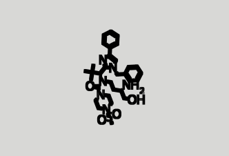 CC(C)(C)[C@H](c1nc(-c2ccccc2)cn1Cc1ccccc1)N(CC[C@@H](N)CO)C(=O)N1CCN(S(C)(=O)=O)CC1